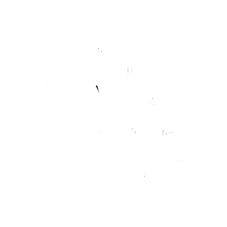 C#CC[C@H]1O[C@@H](n2cc(C)c(=O)[nH]c2=O)C[C@@H]1OP(N)O